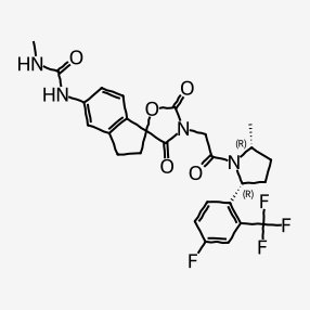 CNC(=O)Nc1ccc2c(c1)CCC21OC(=O)N(CC(=O)N2[C@H](C)CC[C@@H]2c2ccc(F)cc2C(F)(F)F)C1=O